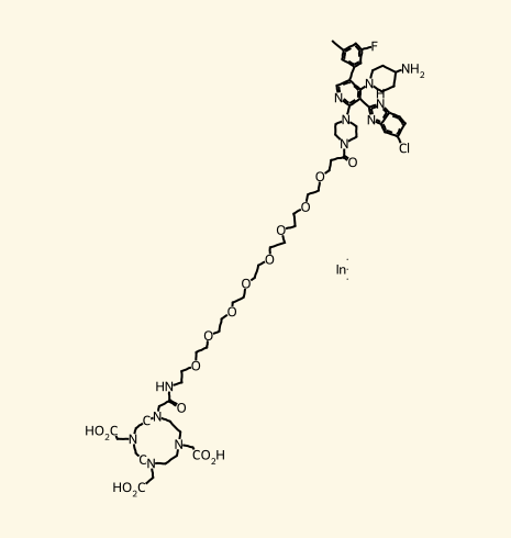 Cc1cc(F)cc(-c2cnc(N3CCN(C(=O)CCOCCOCCOCCOCCOCCOCCOCCOCCNC(=O)CN4CCN(CC(=O)O)CCN(CC(=O)O)CCN(CC(=O)O)CC4)CC3)c(-c3nc4cc(Cl)ccc4[nH]3)c2N2CCC(N)CC2)c1.[In]